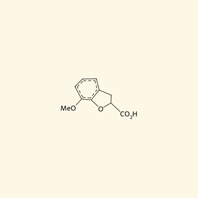 COc1cccc2c1OC(C(=O)O)C2